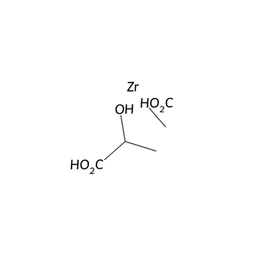 CC(=O)O.CC(O)C(=O)O.[Zr]